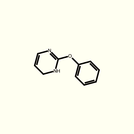 C1=CN=C(Oc2ccccc2)NC1